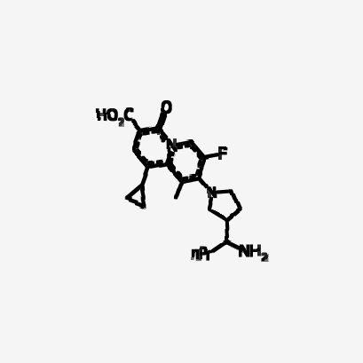 CCCC(N)C1CCN(c2c(F)cn3c(=O)c(C(=O)O)cc(C4CC4)c3c2C)C1